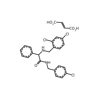 O=C(NCc1ccc(Cl)cc1)C(NCc1ccc(Cl)cc1Cl)c1ccccc1.O=C(O)C=CC(=O)O